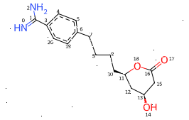 N=C(N)c1ccc(CCCC[C@@H]2C[C@H](O)CC(=O)O2)cc1